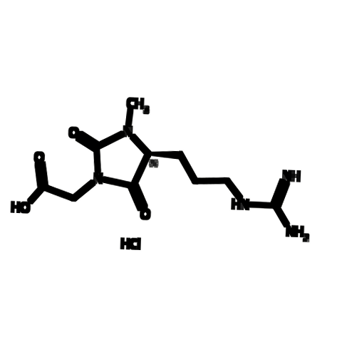 CN1C(=O)N(CC(=O)O)C(=O)[C@@H]1CCCNC(=N)N.Cl